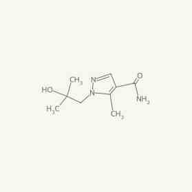 Cc1c(C(N)=O)cnn1CC(C)(C)O